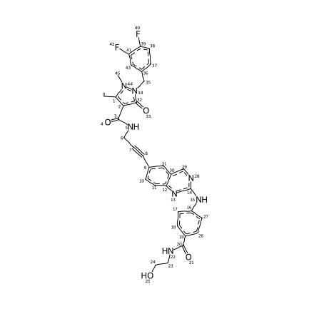 Cc1c(C(=O)NCC#Cc2ccc3nc(Nc4ccc(C(=O)NCCO)cc4)ncc3c2)c(=O)n(Cc2ccc(F)c(F)c2)n1C